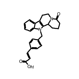 O=C(O)/C=C/c1ccc(Cn2c3c(c4ccccc42)CCN2C(=O)CCCC32)cc1